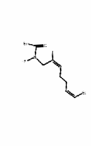 CC/C=C\CC/C=C(/C)CN(CCC)C(=O)C(C)CC